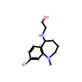 CN1CCCC(NCCO)c2ccc(Br)cc21